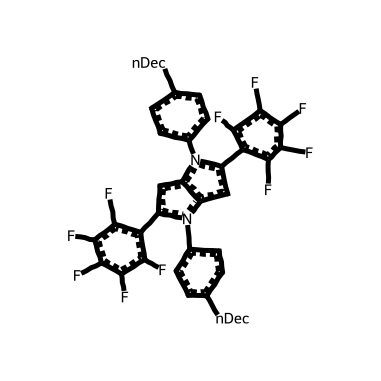 CCCCCCCCCCc1ccc(-n2c(-c3c(F)c(F)c(F)c(F)c3F)cc3c2cc(-c2c(F)c(F)c(F)c(F)c2F)n3-c2ccc(CCCCCCCCCC)cc2)cc1